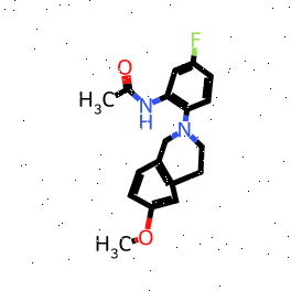 COc1ccc2c(c1)CCN(c1ccc(F)cc1NC(C)=O)C2